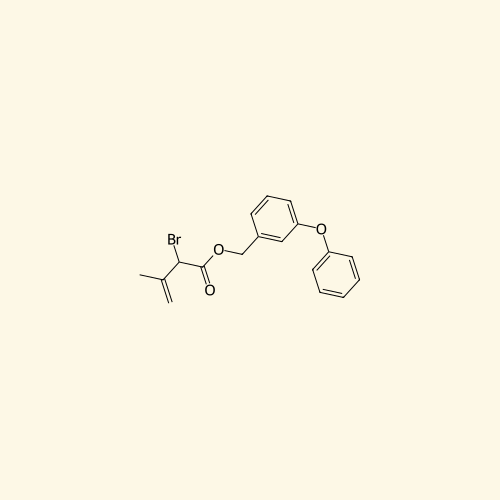 C=C(C)C(Br)C(=O)OCc1cccc(Oc2ccccc2)c1